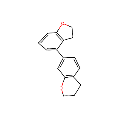 [c]1cc2c(c(-c3ccc4c(c3)OCCC4)c1)CCO2